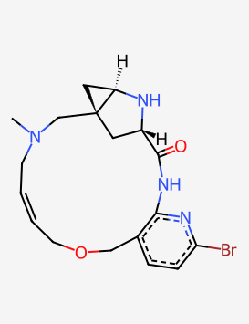 CN1CC=CCOCc2ccc(Br)nc2NC(=O)[C@@H]2C[C@]3(C[C@H]3N2)C1